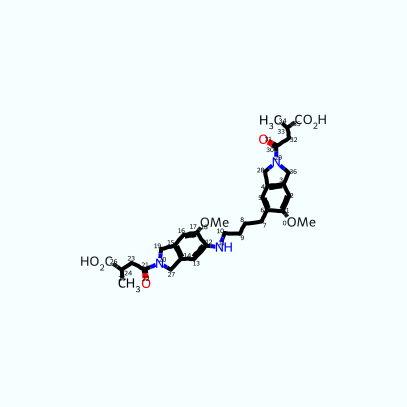 COc1cc2c(cc1CCCCNc1cc3c(cc1OC)CN(C(=O)CC(C)C(=O)O)C3)CN(C(=O)CC(C)C(=O)O)C2